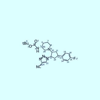 CC(C)(C)OC(=O)N[C@@H]1CCCN(C2CC(c3ccc(F)cc3)CC2n2cc(C#N)nn2)C1